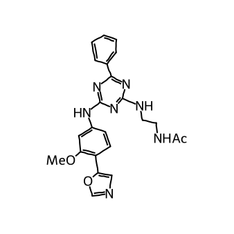 COc1cc(Nc2nc(NCCNC(C)=O)nc(-c3ccccc3)n2)ccc1-c1cnco1